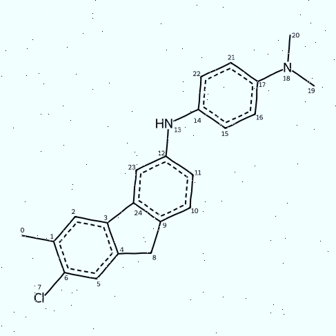 Cc1cc2c(cc1Cl)Cc1ccc(Nc3ccc(N(C)C)cc3)cc1-2